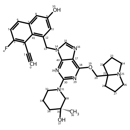 C#Cc1c(F)ccc2cc(O)cc(Cn3cnc4c(OCC56CCCN5CCC6)nc(N5CCC[C@](C)(O)C5)nc43)c12